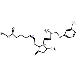 CC(/C=C/[C@H]1C(C)CC(=O)C1C/C=C\CCCC(=O)OC(C)C)COc1cccc(C(F)(F)F)c1